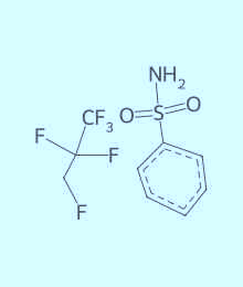 FCC(F)(F)C(F)(F)F.NS(=O)(=O)c1ccccc1